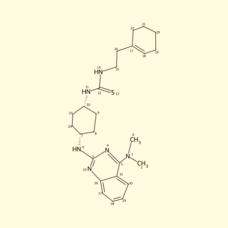 CN(C)c1nc(N[C@H]2CC[C@@H](NC(=S)NCCC3=CCCCC3)CC2)nc2ccccc12